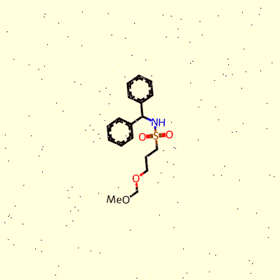 COCOCCCS(=O)(=O)NC(c1ccccc1)c1ccccc1